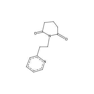 O=C1CCCC(=O)N1CCc1ccccn1